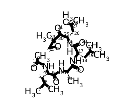 CC(=O)N[C@@H](CC(C)C)C(=O)N[C@@H](C)C(=O)N[C@@H](CC(C)C)C(=O)N[C@@H](CC(C)C)C(=O)[C@@]1(C)CO1